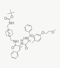 COCCOc1ccc(C[C@@H](NC(=O)c2ccccc2)C(=O)N[C@@H](Cc2ccccc2)C(=O)NCC23CCC(CNC(=O)OC(C)(C)C)(CC2)CC3)cc1